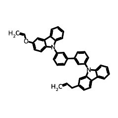 C=CCc1ccc2c3ccccc3n(-c3cccc(-c4cccc(-n5c6ccccc6c6cc(OC=C)ccc65)c4)c3)c2c1